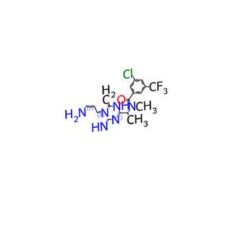 C=C(/N=C\C=C/N)N/C(=N\C=N)C(C)N(C)C(=O)c1cc(Cl)cc(C(F)(F)F)c1